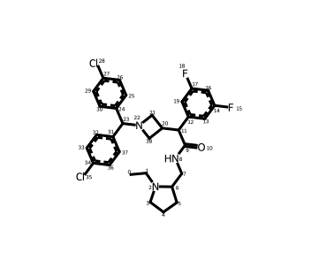 CCN1CCCC1CNC(=O)C(c1cc(F)cc(F)c1)C1CN(C(c2ccc(Cl)cc2)c2ccc(Cl)cc2)C1